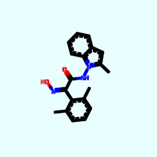 Cc1cccc(C)c1/C(=N/O)C(=O)Nn1c(C)cc2ccccc21